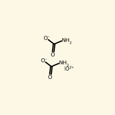 NC(=O)[O-].NC(=O)[O-].[O+2]